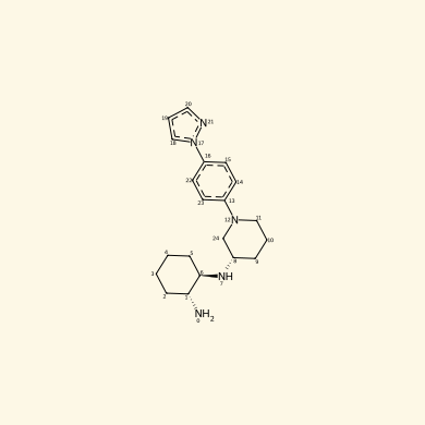 N[C@@H]1CCCC[C@H]1N[C@H]1CCCN(c2ccc(-n3cccn3)cc2)C1